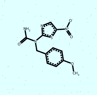 COc1ccc(CN(C(N)=O)c2ncc([N+](=O)[O-])s2)cc1